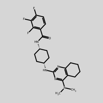 CN(C)c1nc(N[C@H]2CC[C@@H](NC(=O)c3ccc(F)c(F)c3F)CC2)nc2c1CCCC2